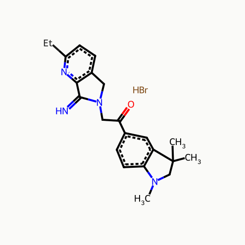 Br.CCc1ccc2c(n1)C(=N)N(CC(=O)c1ccc3c(c1)C(C)(C)CN3C)C2